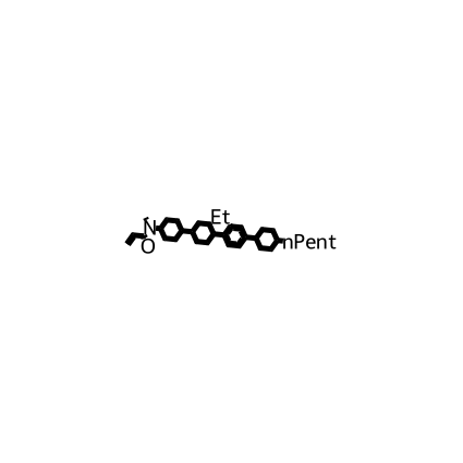 C=CC(=O)N(C)C1CCC(C2CCC(c3ccc(C4CCC(CCCCC)CC4)cc3CC)CC2)CC1